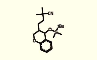 CC(C)(C#N)CCC1COc2ccccc2C1O[Si](C)(C)C(C)(C)C